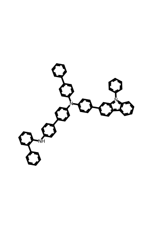 c1ccc(-c2ccc(N(c3ccc(-c4ccc(Nc5ccccc5-c5ccccc5)cc4)cc3)c3ccc(-c4ccc5c6ccccc6n(-c6ccccc6)c5c4)cc3)cc2)cc1